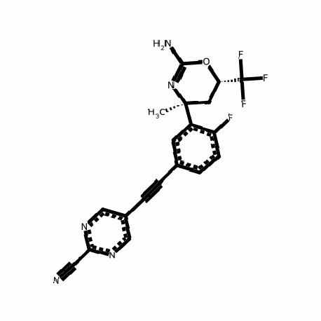 C[C@@]1(c2cc(C#Cc3cnc(C#N)nc3)ccc2F)C[C@@H](C(F)(F)F)OC(N)=N1